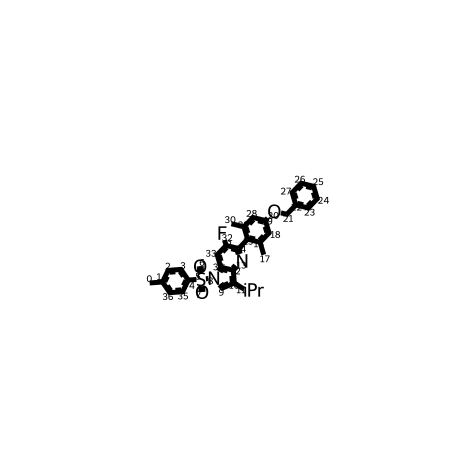 Cc1ccc(S(=O)(=O)n2cc(C(C)C)c3nc(-c4c(C)cc(OCc5ccccc5)cc4C)c(F)cc32)cc1